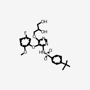 COc1ccc(F)cc1Oc1c(NS(=O)(=O)c2ccc(C(C)(C)C)cc2)ncnc1OCC(O)CO